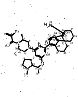 C=C(F)C(=O)N1C(C)CN(c2cc(O[C@@H](C)C3CCCN3C)nc(-c3onc4c3CCC[C@@]43CCCc4sc(N)c(C#N)c43)n2)C[C@@H]1C